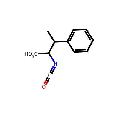 CC(c1ccccc1)C(N=C=O)C(=O)O